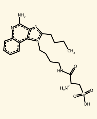 CCCCc1nc2c(N)nc3ccccc3c2n1CCCCNC(=O)[C@@H](N)CS(=O)(=O)O